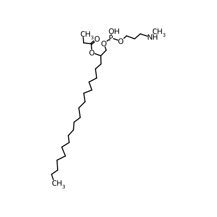 CCCCCCCCCCCCCCCCCCCC(COP(O)OCCCNC)OC(=O)CC